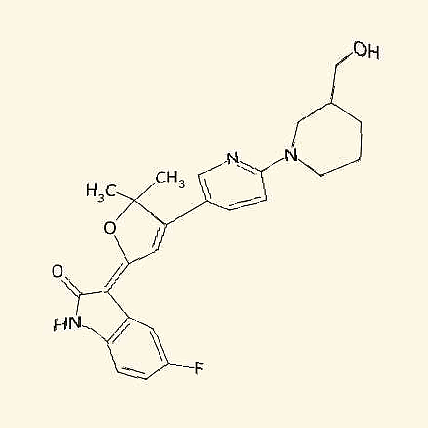 CC1(C)OC(=C2C(=O)Nc3ccc(F)cc32)C=C1c1ccc(N2CCCC(CO)C2)nc1